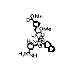 COC(=O)c1cccc(C[C@H](NC(=O)[C@@](N)(Cc2cccc(C(=N)N)c2)S(=O)(=O)c2ccc3ccccc3c2)C(=O)OC)c1